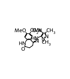 COc1cc2c(cc1OC)/C(=N\Nc1c([N+](=O)[O-])c(C)nn1C)CCC(=O)N2